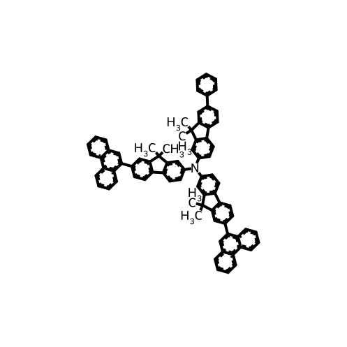 CC1(C)c2cc(-c3ccccc3)ccc2-c2ccc(N(c3ccc4c(c3)C(C)(C)c3cc(-c5cc6ccccc6c6ccccc56)ccc3-4)c3ccc4c(c3)C(C)(C)c3cc(-c5cc6ccccc6c6ccccc56)ccc3-4)cc21